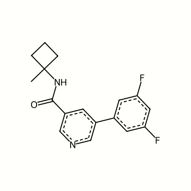 CC1(NC(=O)c2cncc(-c3cc(F)cc(F)c3)c2)CCC1